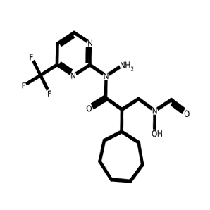 NN(C(=O)C(CN(O)C=O)C1CCCCCC1)c1nccc(C(F)(F)F)n1